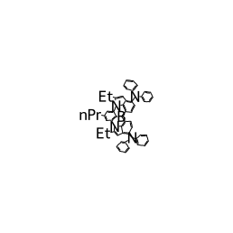 CCCc1cc2c3c(c1)-n1c(CC)cc4c(N(c5ccccc5)c5ccccc5)ccc(c41)B3c1ccc(N(c3ccccc3)c3ccccc3)c3cc(CC)n-2c13